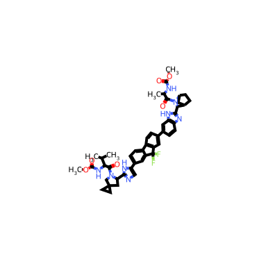 COC(=O)NC(C)C(=O)N1C2CCC(C2)C1c1nc2ccc(-c3ccc4c(c3)C(F)(F)c3cc(-c5cnc(C6CC7(CC7)CN6C(=O)C(NC(=O)OC)C(C)C)[nH]5)ccc3-4)cc2[nH]1